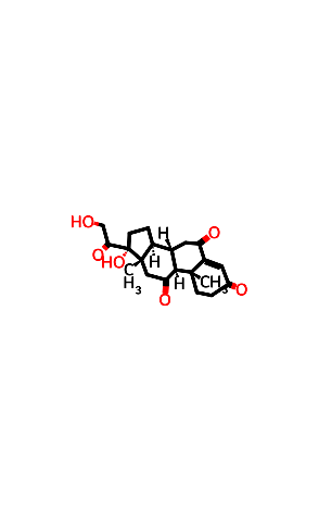 C[C@]12CCC(=O)C=C1C(=O)C[C@@H]1[C@@H]2C(=O)C[C@@]2(C)[C@H]1CC[C@]2(O)C(=O)CO